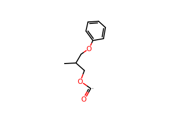 CC(CO[C]=O)COc1ccccc1